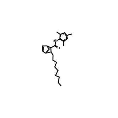 CCCCCCCCCC1C2C=CC(C2)C1C(=O)Nc1c(C)cc(C)cc1C